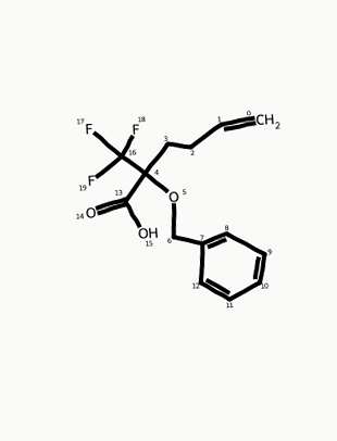 C=CCCC(OCc1ccccc1)(C(=O)O)C(F)(F)F